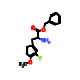 N[C@@H](Cc1ccc(OC(F)(F)F)c(F)c1)C(=O)OCc1ccccc1